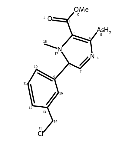 COC(=O)C1=C([AsH2])N=CC(c2cccc(CCl)c2)N1C